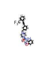 O=C(Nc1noc2ccccc12)N1CCN(Cc2cccc(C#Cc3ccccc3C(F)(F)F)c2)CC1